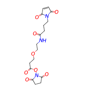 O=C(CCCN1C(=O)C=CC1=O)NCCOCCC(=O)ON1C(=O)CCC1=O